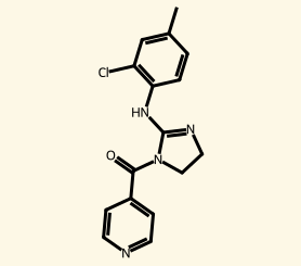 Cc1ccc(NC2=NCCN2C(=O)c2ccncc2)c(Cl)c1